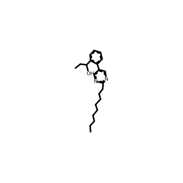 CCCCCCCCCc1ncc(-c2ccccc2C(O)CC)cn1